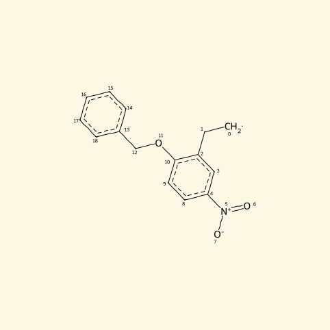 [CH2]Cc1cc([N+](=O)[O-])ccc1OCc1ccccc1